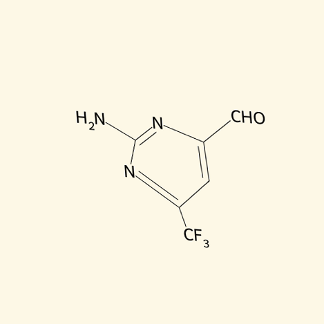 Nc1nc(C=O)cc(C(F)(F)F)n1